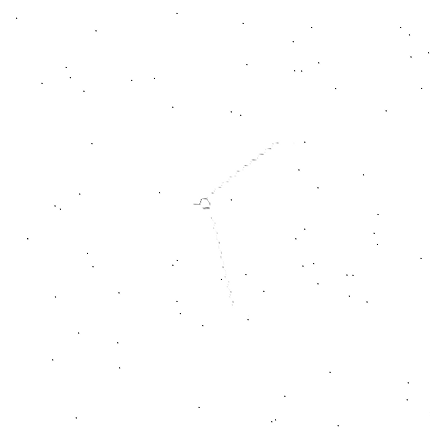 [CH2]Cc1cc(SCCCCCCCCCCCCCCCCCCCC)cc(SCCCCCCCCCCCCCCCCCCCC)c1